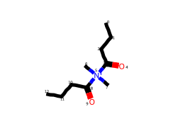 CCCC(=O)[N+](C)(C)C(=O)CCC